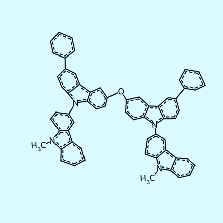 Cn1c2ccccc2c2cc(-n3c4ccc(Oc5ccc6c(c5)c5cc(-c7ccccc7)ccc5n6-c5ccc6c(c5)c5ccccc5n6C)cc4c4cc(-c5ccccc5)ccc43)ccc21